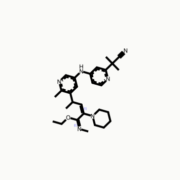 CCOC(=N/C)/C(=C\C(C)c1cc(Nc2ccnc(C(C)(C)C#N)c2)cnc1C)N1CCCCC1